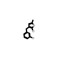 Cc1cc(Cc2cccc(Cl)c2)c(Cl)o1